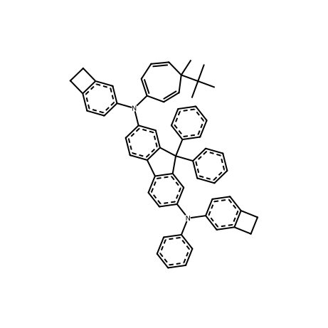 CC(C)(C)C1(C)C=CC=C(N(c2ccc3c(c2)CC3)c2ccc3c(c2)C(c2ccccc2)(c2ccccc2)c2cc(N(c4ccccc4)c4ccc5c(c4)CC5)ccc2-3)C=C1